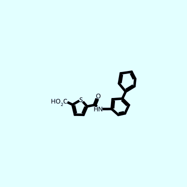 O=C(O)c1ccc(C(=O)Nc2cccc(-c3ccccc3)c2)s1